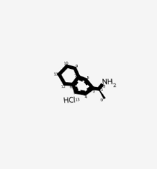 C[C@H](N)c1ccc2c(c1)CCCC2.Cl